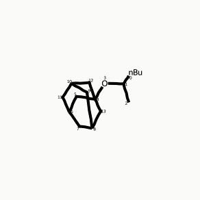 CCCCC(C)OC12CC3CC(CC(C3)C1)C2